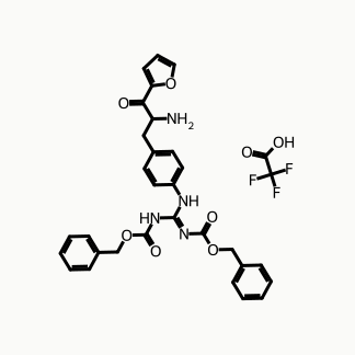 NC(Cc1ccc(N/C(=N\C(=O)OCc2ccccc2)NC(=O)OCc2ccccc2)cc1)C(=O)c1ccco1.O=C(O)C(F)(F)F